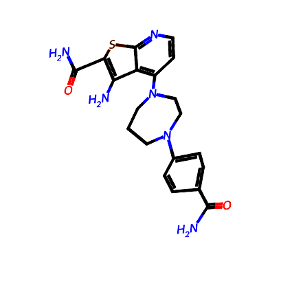 NC(=O)c1ccc(N2CCCN(c3ccnc4sc(C(N)=O)c(N)c34)CC2)cc1